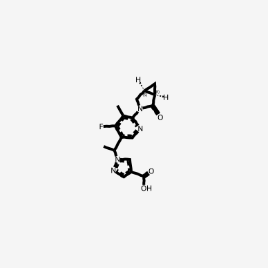 Cc1c(N2C[C@H]3C[C@H]3C2=O)ncc(C(C)n2cc(C(=O)O)cn2)c1F